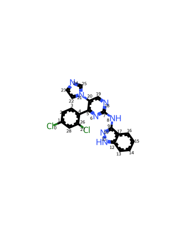 Clc1ccc(-c2nc(Nc3n[nH]c4ccccc34)ncc2-n2ccnc2)c(Cl)c1